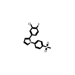 CS(=O)(=O)c1ccc(-n2cccc2-c2ccc(F)c(Cl)c2)cc1